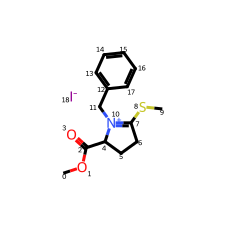 COC(=O)C1CCC(SC)=[N+]1Cc1ccccc1.[I-]